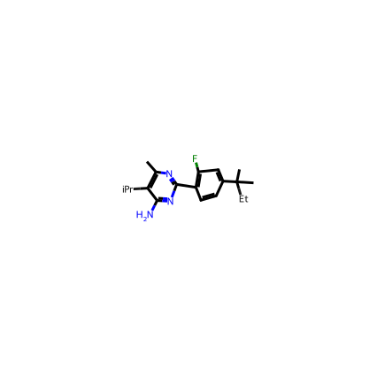 CCC(C)(C)c1ccc(-c2nc(C)c(C(C)C)c(N)n2)c(F)c1